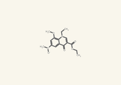 CCOC(=O)c1cn(CC)c2c(OC)cc([S+](C)[O-])cc2c1=O